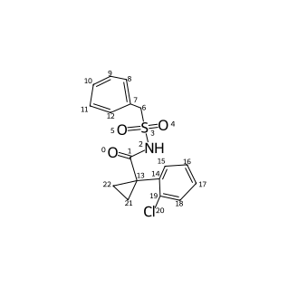 O=C(NS(=O)(=O)Cc1ccccc1)C1(c2ccccc2Cl)CC1